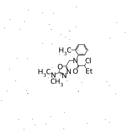 CCC(Cl)C(=O)N(Cc1nnc(N(C)C)o1)c1ccccc1C